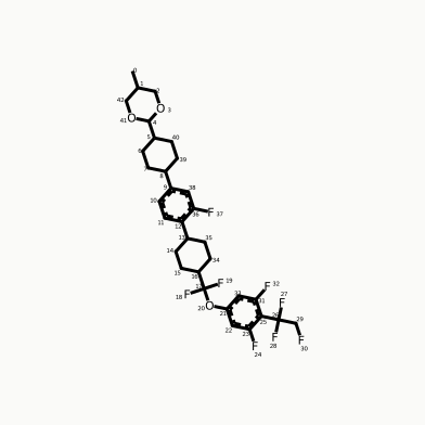 CC1COC(C2CCC(c3ccc(C4CCC(C(F)(F)Oc5cc(F)c(C(F)(F)CF)c(F)c5)CC4)c(F)c3)CC2)OC1